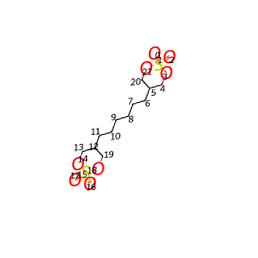 O=S1(=O)OCC(CCCCCCC2COS(=O)(=O)OC2)CO1